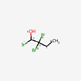 CCC(Br)(Br)C(O)Br